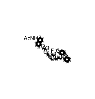 CC(=O)Nc1cccc2c(OCC(=O)OCCN3CCN(CCCN4c5ccccc5Sc5ccc(C(F)(F)F)cc54)CC3)cccc12